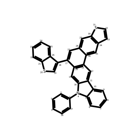 c1ccc(-n2c3ccccc3c3cc4c(cc32)c(-c2csc3ccccc23)cc2cc3sccc3cc24)cc1